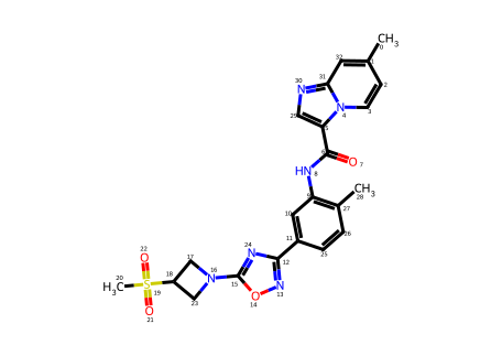 Cc1ccn2c(C(=O)Nc3cc(-c4noc(N5CC(S(C)(=O)=O)C5)n4)ccc3C)cnc2c1